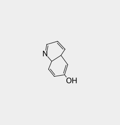 OC1=CC2C=CC=NC2C=C1